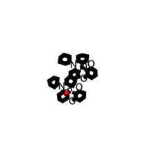 O=P12c3c4cccc3Oc3c1c(cc1cc5c6c(c31)Oc1cccc3c1P6(=O)c1c(cccc1N5c1ccccc1)O3)N(c1ccccc1)c1cccc(c12)O4